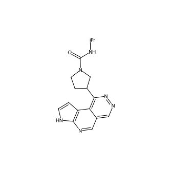 CC(C)NC(=O)N1CCC(c2nncc3cnc4[nH]ccc4c23)C1